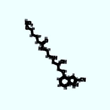 N#Cc1cc2c(OCC(O)CNCCNC(=O)CSCCO[N+](=O)[O-])cccc2[nH]1